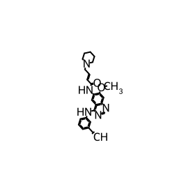 C#Cc1cccc(Nc2ncnc3cc(OC)c(NC(=O)C=CCN4CCCCC4)cc23)c1